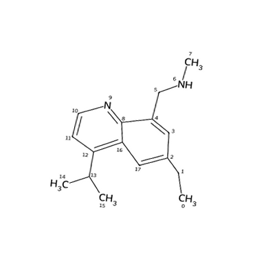 CCc1cc(CNC)c2nccc(C(C)C)c2c1